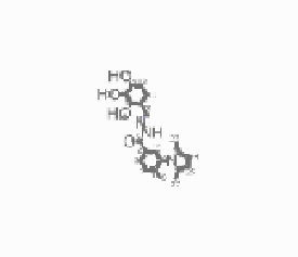 Cc1ccc(C(=O)N/N=C/c2ccc(O)c(O)c2O)cc1-n1c(C)ccc1C